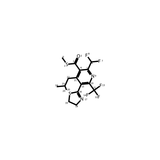 CSC(=O)c1c(C(F)F)nc(C(F)(F)F)c(C2=NCCS2)c1CC(C)C